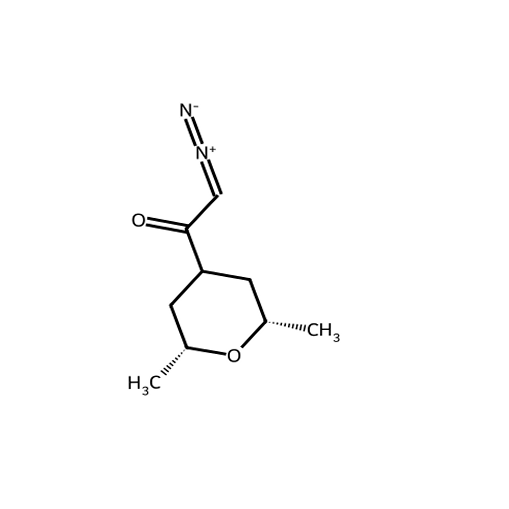 C[C@@H]1CC(C(=O)C=[N+]=[N-])C[C@H](C)O1